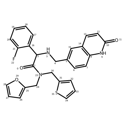 O=C(C(NCc1ccc2[nH]c(=O)ccc2c1)c1ccccc1F)N(Cc1ccco1)Cc1cccs1